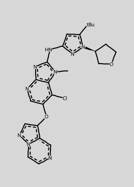 Cn1c(Nc2cc(C(C)(C)C)n([C@H]3CCOC3)n2)nc2ncc(Oc3cnn4ccncc34)c(Cl)c21